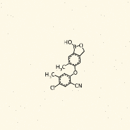 Cc1cc(Oc2cc3c(cc2C)B(O)OC3)c(C#N)cc1Cl